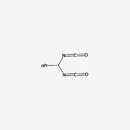 CCC[C](N=C=O)N=C=O